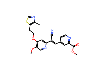 COC(=O)c1cc(/C=C(\C#N)c2cc(OCCc3scnc3C)c(OC)cn2)ccn1